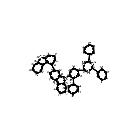 c1ccc(-c2nc(-c3ccccc3)nc(-c3ccc(-n4c5ccccc5c5ccc(-c6cccc7sc8ccccc8c67)cc54)c(-c4ccccc4)c3)n2)cc1